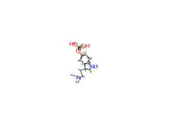 CN(C)CCc1c[nH]c2ccc(OB(O)O)cc12